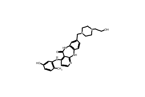 Cc1ccc(O)cc1Nc1ccnc2c1C(=O)Nc1cc(CN3CCN(CCO)CC3)ccc1N2